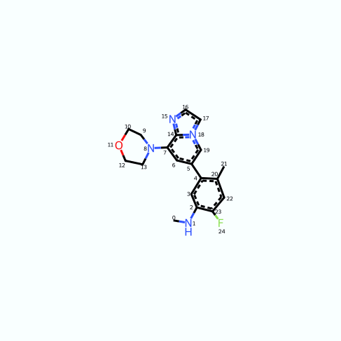 CNc1cc(-c2cc(N3CCOCC3)c3nccn3c2)c(C)cc1F